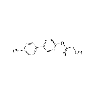 CC(C)c1ccc(-c2ccc(OC(=O)CO)cc2)cc1